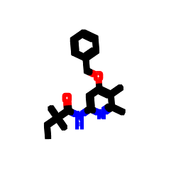 CCC(C)(C)C(=O)Nc1cc(OCc2ccccc2)c(C)c(C)n1